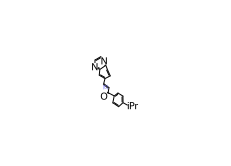 CC(C)c1ccc(C(=O)/C=C/c2ccc3nccnc3c2)cc1